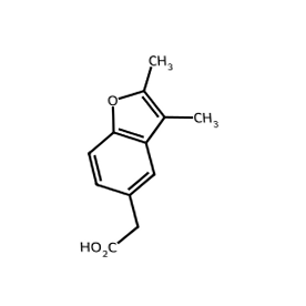 Cc1oc2ccc(CC(=O)O)cc2c1C